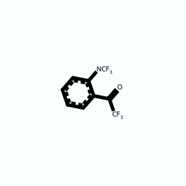 O=C(c1ccccc1NC(F)(F)F)C(F)(F)F